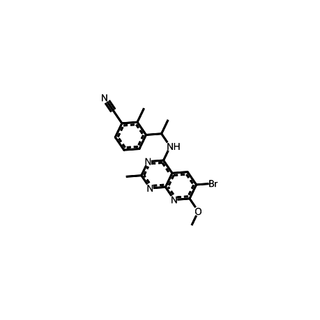 COc1nc2nc(C)nc(NC(C)c3cccc(C#N)c3C)c2cc1Br